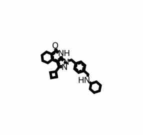 O=c1[nH]c2c(c(C3CCC3)nn2Cc2ccc(CNC3CCCCC3)cc2)c2c1CCCC2